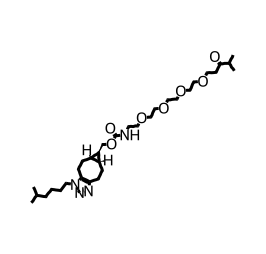 CC(C)CCCCn1nnc2c1CC[C@@H]1[C@H](CC2)[C@@H]1COC(=O)NCCOCCOCCOCCOCCC(=O)C(C)C